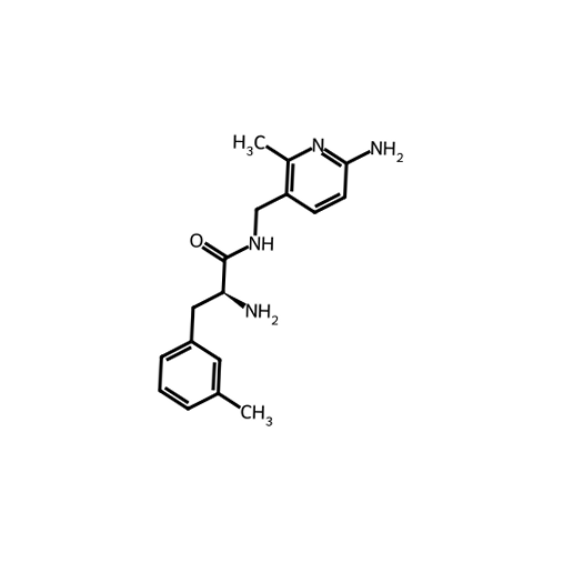 Cc1cccc(C[C@H](N)C(=O)NCc2ccc(N)nc2C)c1